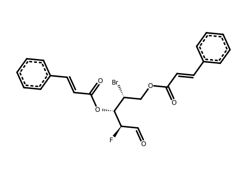 O=C[C@@H](F)[C@H](OC(=O)C=Cc1ccccc1)[C@H](Br)COC(=O)C=Cc1ccccc1